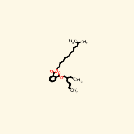 CCCCC(CC)COC(=O)c1ccccc1C(=O)OCCCCCCCCCCC(C)C